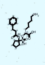 NCCCCC[C@@H](OP(=O)(O)C1(NC(=O)CCc2ccccc2)CCCC1)C(=O)O